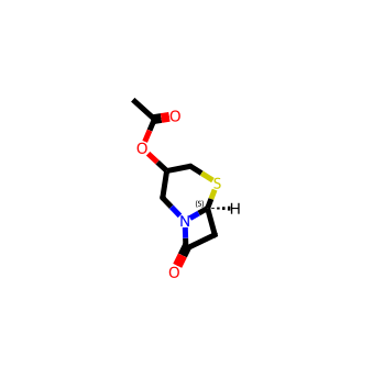 CC(=O)OC1CS[C@H]2CC(=O)N2C1